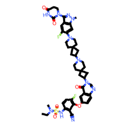 CCN(C)S(=O)(=O)Nc1ccc(F)c(Oc2ccc3ncn(C4CC5(CCN(C6CC7(CCN(c8cc9c(cc8F)c(N8CCC(=O)NC8=O)nn9C)CC7)C6)CC5)C4)c(=O)c3c2)c1C#N